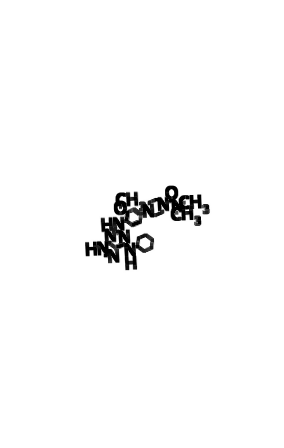 COc1cc(N2CCN(C(=O)N(C)C)CC2)ccc1Nc1nc(NC2CCCCC2)c2nc[nH]c2n1